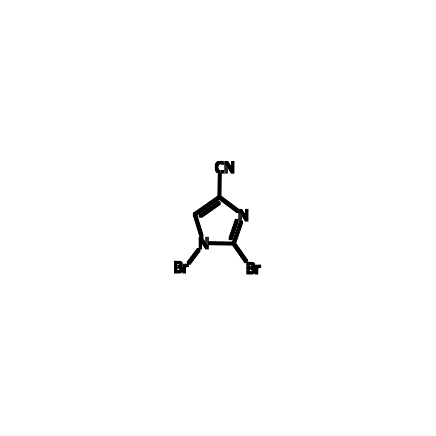 N#Cc1cn(Br)c(Br)n1